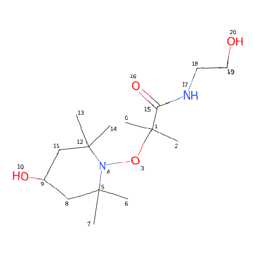 CC(C)(ON1C(C)(C)CC(O)CC1(C)C)C(=O)NCCO